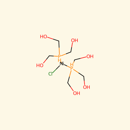 OC[PH](CO)(CO)[Ni]([Cl])[PH](CO)(CO)CO